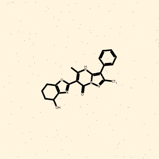 Cc1[nH]c2c(-c3ccccc3)c(C(F)(F)F)nn2c(=O)c1-c1nc2c(o1)CCCC2O